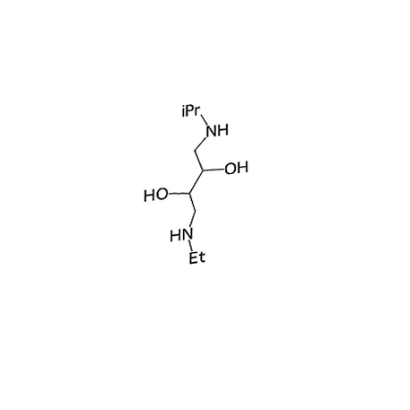 CCNCC(O)C(O)CNC(C)C